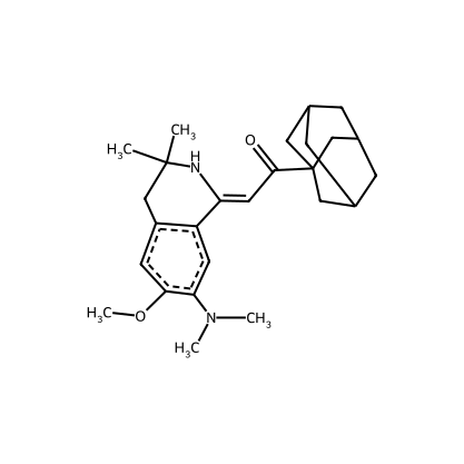 COc1cc2c(cc1N(C)C)C(=CC(=O)C13CC4CC(CC(C4)C1)C3)NC(C)(C)C2